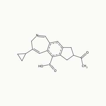 CC(=O)C1Cc2cc3c(c(S(=O)O)c2C1)C=C(C1CC1)CN=C3